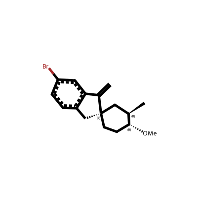 C=C1c2cc(Br)ccc2C[C@]12CC[C@@H](OC)[C@H](C)C2